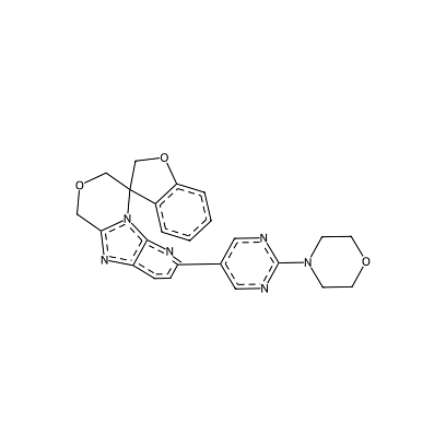 c1ccc2c(c1)OCC21COCc2nc3ccc(-c4cnc(N5CCOCC5)nc4)nc3n21